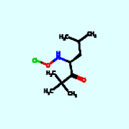 CC(C)C[C@H](NOCl)C(=O)C(C)(C)C